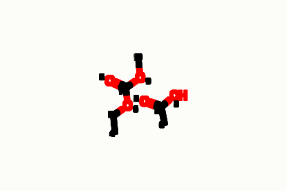 CC(=O)O.CCOC(=O)OC